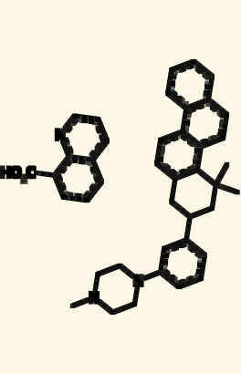 CN1CCN(c2cccc(C3Cc4ccc5c(ccc6ccccc65)c4C(C)(C)C3)c2)CC1.O=C(O)c1cccc2cccnc12